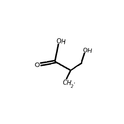 [CH2]C(CO)C(=O)O